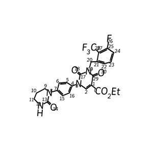 CCOC(=O)c1cn(-c2ccc(N3CCCNC3=O)cc2)c(=O)n(Cc2cccc(F)c2C(F)(F)F)c1=O